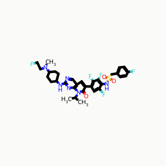 CC(C)n1c(=O)c(-c2cc(F)c(NS(=O)(=O)Cc3ccc(F)cc3)c(F)c2F)cc2cnc(NC3CCC(N(C)CCF)CC3)nc21